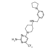 Nc1nc(N2CCC(NCc3cccc(N4CCCC4)c3)CC2)cc(C(F)(F)F)n1